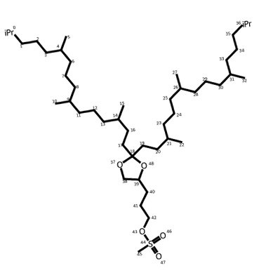 CC(C)CCCC(C)CCCC(C)CCCC(C)CCC1(CCC(C)CCCC(C)CCCC(C)CCCC(C)C)OCC(CCCOS(C)(=O)=O)O1